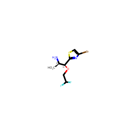 N[C@H](C(=O)O)[C@H](OCC(F)F)c1nc(Br)cs1